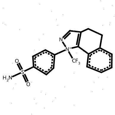 NS(=O)(=O)c1ccc([N+]2(C(F)(F)F)N=CC3=C2c2ccccc2CC3)cc1